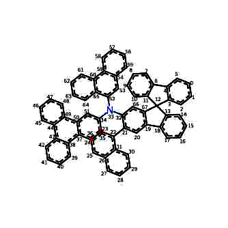 c1ccc2c(c1)-c1ccccc1C21c2ccccc2-c2cc(-c3cccc4ccccc34)c(N(c3ccc4c5ccccc5c5ccccc5c4c3)c3cc4ccccc4c4ccccc34)cc21